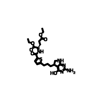 CCOC(=O)CC[C@H](NC(=O)c1ccc(CCCC2CNc3nc(N)nc(O)c32)s1)C(=O)OCC